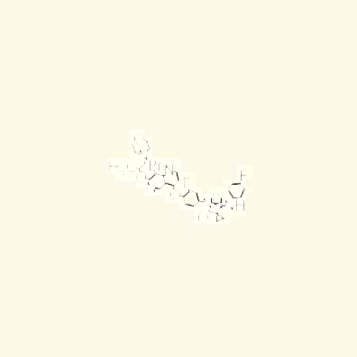 CC(CN1CCOCC1)Oc1ncc2c(Oc3ccc(NC(=O)C4(C(=O)Nc5ccc(F)cc5)CC4)cc3F)ccnc2c1Br